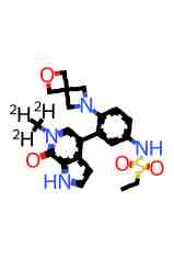 [2H]C([2H])([2H])n1cc(-c2cc(NS(=O)(=O)CC)ccc2N2CC3(COC3)C2)c2cc[nH]c2c1=O